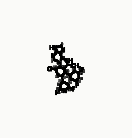 CC(Nc1ncnc2[nH]cnc12)c1cc(Cl)cc(-c2cc(F)nc(F)c2)c1-c1cc(F)cc(F)c1